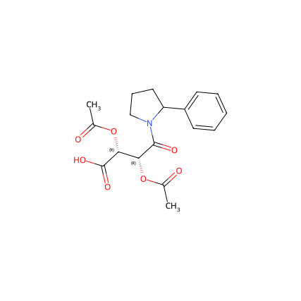 CC(=O)O[C@@H](C(=O)O)[C@@H](OC(C)=O)C(=O)N1CCCC1c1ccccc1